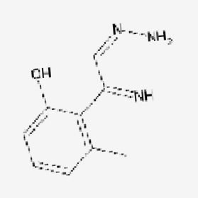 Cc1cccc(O)c1C(=N)/C=N\N